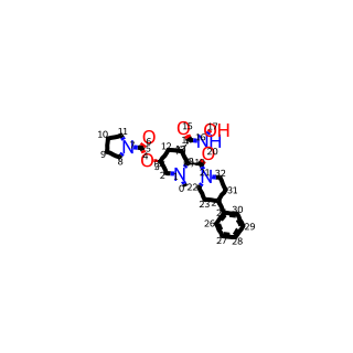 CN1C[C@@H](OC(=O)N2CCCC2)C[C@H](C(=O)NO)[C@H]1C(=O)N1CCC(c2ccccc2)CC1